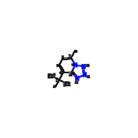 CCC(C)(CC)c1ccc(C)n2nnnc12